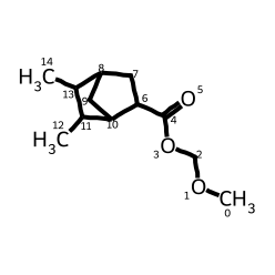 COCOC(=O)C1CC2CC1C(C)C2C